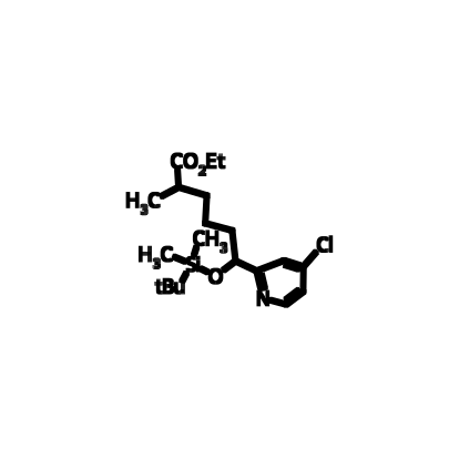 CCOC(=O)C(C)CCCC(O[Si](C)(C)C(C)(C)C)c1cc(Cl)ccn1